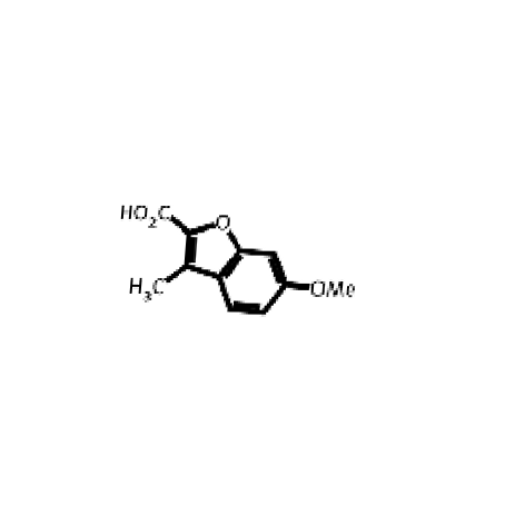 COc1ccc2c(C)c(C(=O)O)oc2c1